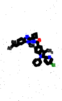 CC(=O)/C(C)=C/c1ccc2nc(C3(NC(=O)c4ccc5c(c4)c(C)c(-c4ccc(Cl)cn4)n5C4CCCCC4)CCC3)n(C)c2c1